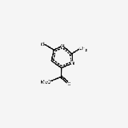 COC(=O)c1cc(Cl)nc(C)n1